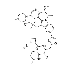 C#[N+][C@@H]1CC[C@H]1C(=O)N[C@@H](Cc1nc(-c2ccc3c(c2)c(CC(C)(C)COC)c(-c2cc(N4CCN(C)CC4)cnc2[C@H](C)OC)n3CC)cs1)C(=O)N1CCC[C@@H](C)N1